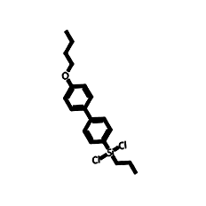 CCCCOc1ccc(-c2ccc([Si](Cl)(Cl)CCC)cc2)cc1